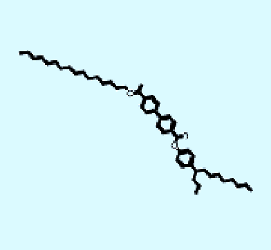 CCCCCCCCCCCCCCCCOC(C)c1ccc(-c2ccc(C(=O)Oc3ccc(C(CCC)CCCCCCCC)cc3)cc2)cc1